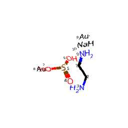 NCCN.O=S(O)O.[Au].[Au].[NaH]